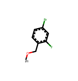 CC(C)OCc1ccc(Br)cc1F